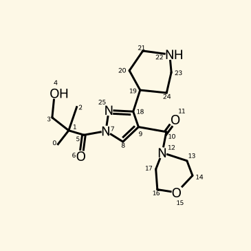 CC(C)(CO)C(=O)n1cc(C(=O)N2CCOCC2)c(C2CCNCC2)n1